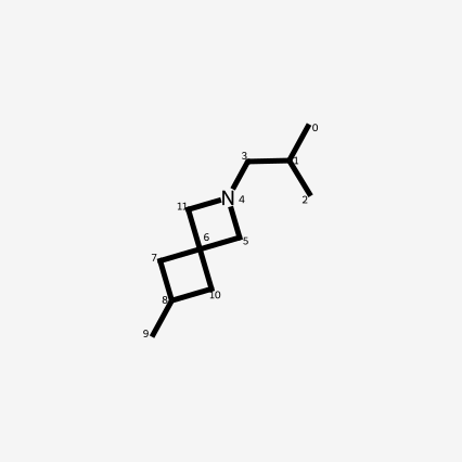 CC(C)CN1CC2(CC(C)C2)C1